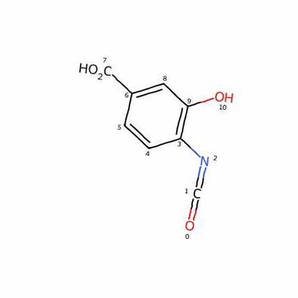 O=C=Nc1ccc(C(=O)O)cc1O